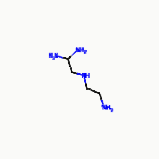 NCCNCC(N)N